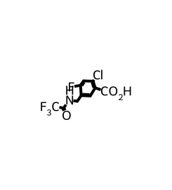 O=C(O)c1cc(CNC(=O)C(F)(F)F)c(F)cc1Cl